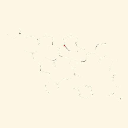 CC(C)C[C@H](NC(=O)[C@@H]1CCN1C(=O)[C@H](Cc1ccccc1)NC(=O)[C@@H](NC(=O)[C@H](CC(N)=O)NC(=O)[C@@H]1C[C@@H](O)CN1C(=O)[C@@H](Cc1ccc(O)cc1)NC(=O)CNC(=O)CN)[C@@H](C)O)C(=O)N[C@@H](CCCNC(=N)N)C(=O)O